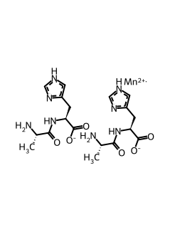 C[C@H](N)C(=O)N[C@@H](Cc1c[nH]cn1)C(=O)[O-].C[C@H](N)C(=O)N[C@@H](Cc1c[nH]cn1)C(=O)[O-].[Mn+2]